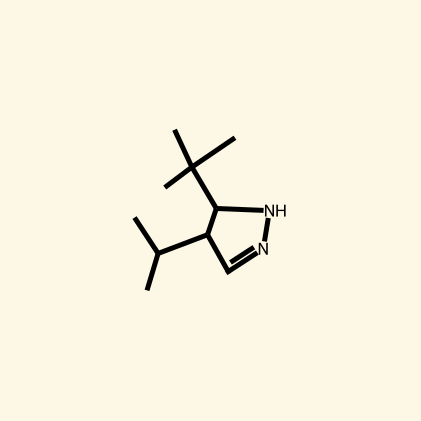 CC(C)C1C=NNC1C(C)(C)C